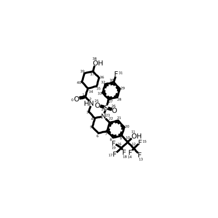 O=C(NCC1CCc2cc(C(O)(C(F)(F)F)C(F)(F)F)ccc2N1S(=O)(=O)c1ccc(F)cc1)C1CCC(O)CC1